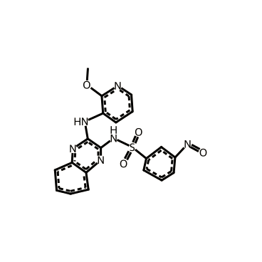 COc1ncccc1Nc1nc2ccccc2nc1NS(=O)(=O)c1cccc(N=O)c1